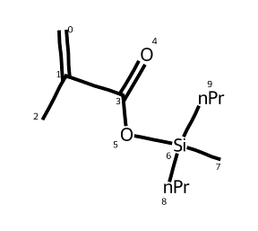 C=C(C)C(=O)O[Si](C)(CCC)CCC